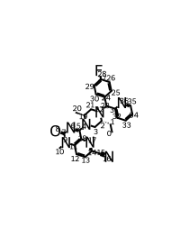 CC[C@@H]1CN(c2nc(=O)n(C)c3ccc(C#N)nc23)[C@@H](C)CN1C(c1ccc(F)cc1)c1ccccn1